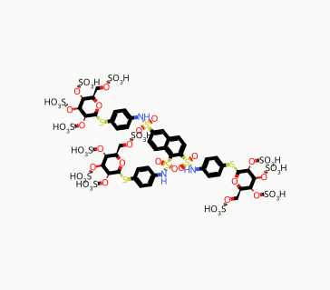 O=S(=O)(O)OC[C@H]1O[C@@H](Sc2ccc(NS(=O)(=O)c3ccc4c(S(=O)(=O)Nc5ccc(S[C@@H]6O[C@H](COS(=O)(=O)O)[C@@H](OS(=O)(=O)O)[C@H](OS(=O)(=O)O)[C@H]6OS(=O)(=O)O)cc5)c(S(=O)(=O)Nc5ccc(S[C@@H]6O[C@H](COS(=O)(=O)O)[C@@H](OS(=O)(=O)O)[C@H](OS(=O)(=O)O)[C@H]6OS(=O)(=O)O)cc5)ccc4c3)cc2)[C@H](OS(=O)(=O)O)[C@@H](OS(=O)(=O)O)[C@@H]1OS(=O)(=O)O